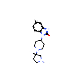 CCOC(=O)N1CCC(C)(N2CCC(n3c(=O)[nH]c4cc(C)ccc43)CC2)C1